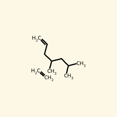 C=C.C=CCC(C)CC(C)C